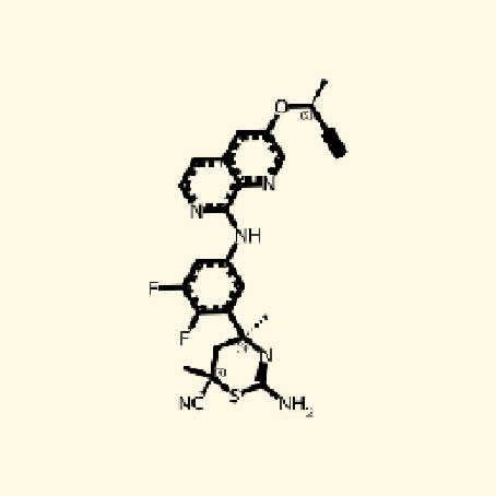 C#C[C@H](C)Oc1cnc2c(Nc3cc(F)c(F)c([C@]4(C)C[C@](C)(C#N)SC(N)=N4)c3)nccc2c1